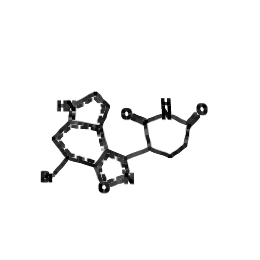 O=C1CCC(c2noc3c(Br)cc4[nH]ccc4c23)C(=O)N1